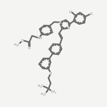 COC(=O)CNc1ccc(Cn2cc(-c3ccc(Cl)cc3Cl)nc2C=Cc2ccc(-c3cccc(OCCC(C)(C)C)c3)cc2)cc1